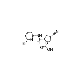 N#CC1CC(C(=O)Nc2cccc(Br)n2)N(C(=O)O)C1